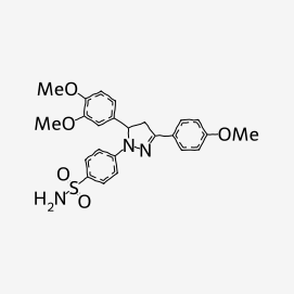 COc1ccc(C2=NN(c3ccc(S(N)(=O)=O)cc3)C(c3ccc(OC)c(OC)c3)C2)cc1